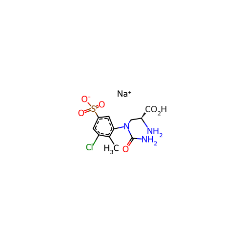 Cc1c(Cl)cc(S(=O)(=O)[O-])cc1N(C[C@H](N)C(=O)O)C(N)=O.[Na+]